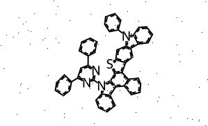 c1ccc(-c2cc(-c3ccccc3)nc(-n3c4ccccc4c4c5ccccc5c5c6cc7c8ccccc8n(-c8ccccc8)c7cc6sc5c43)n2)cc1